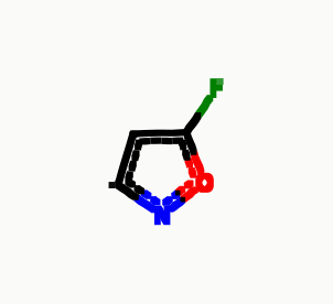 Fc1c[c]no1